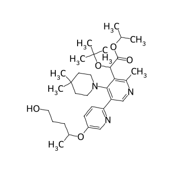 Cc1ncc(-c2ccc(OC(C)CCCO)cn2)c(N2CCC(C)(C)CC2)c1C(OC(C)(C)C)C(=O)OC(C)C